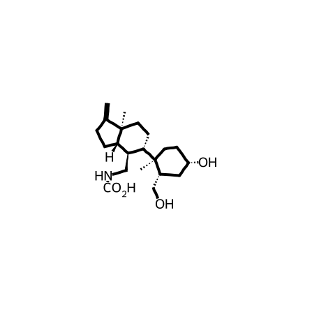 C=C1CC[C@H]2[C@H](CNC(=O)O)[C@@H]([C@@]3(C)CC[C@H](O)C[C@@H]3CO)CC[C@]12C